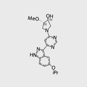 CO[C@H]1CN(c2cc(-c3n[nH]c4ccc(OC(C)C)cc34)ncn2)C[C@@H]1O